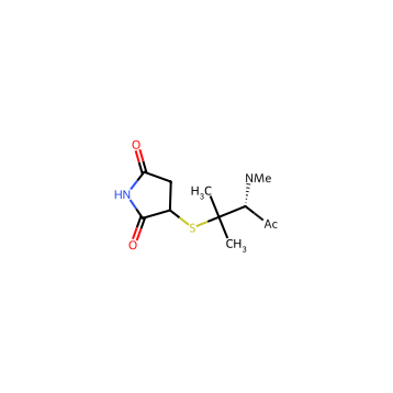 CN[C@H](C(C)=O)C(C)(C)SC1CC(=O)NC1=O